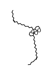 CCCCC/C=C\CCCCCCCCCCC1CCCOC1OC1OCCCC1CCCCCCCCCC/C=C\CCCCC